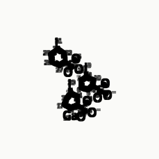 O=S(=O)([O-])c1cccc(I)c1.O=S(=O)([O-])c1cccc(I)c1.O=S(=O)([O-])c1cccc(I)c1.[Ga+3]